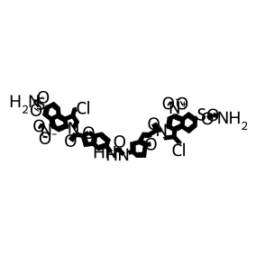 NOOSc1ccc2c3c(cc([N+](=O)[O-])c2c1)N(C(=O)c1cc2cc(NC(=O)Nc4ccc5oc(C(=O)N6CC(CCl)c7c6cc([N+](=O)[O-])c6cc(S(N)(=O)=O)ccc76)cc5c4)ccc2o1)CC3CCl